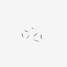 C/C(=N/c1cccc(C)c1)c1ccccc1